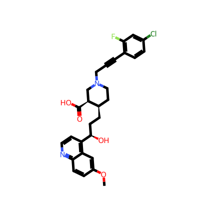 COc1ccc2nccc([C@H](O)CC[C@@H]3CCN(CC#Cc4ccc(Cl)cc4F)C[C@@H]3C(=O)O)c2c1